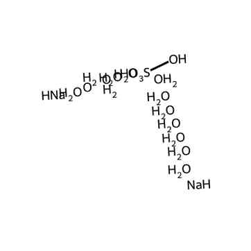 O.O.O.O.O.O.O.O.O.O.O.O.O=S(=O)(O)O.[NaH].[NaH]